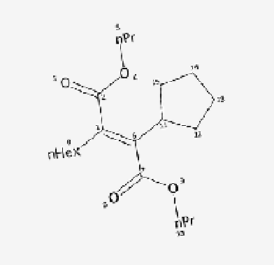 CCCCCCC(C(=O)OCCC)=C(C(=O)OCCC)C1CCCC1